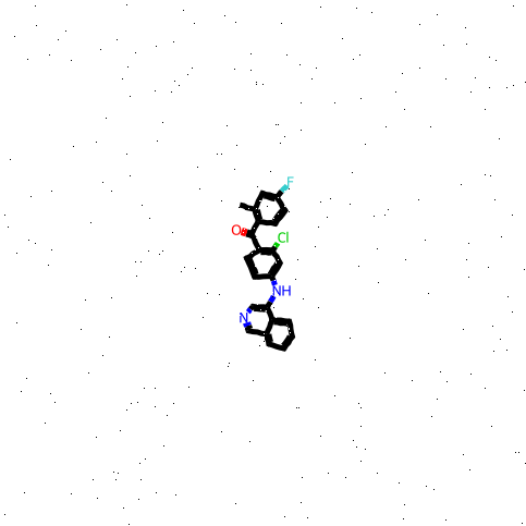 Cc1cc(F)ccc1C(=O)c1ccc(Nc2cncc3ccccc23)cc1Cl